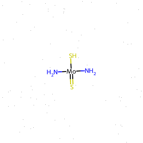 [NH2][Mo]([NH2])(=[S])[SH]